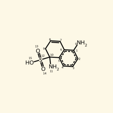 Nc1cccc2c1C=CCC2(N)S(=O)(=O)O